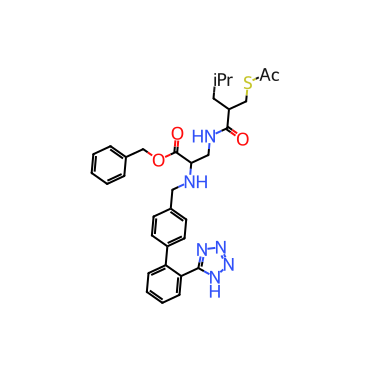 CC(=O)SCC(CC(C)C)C(=O)NCC(NCc1ccc(-c2ccccc2-c2nnn[nH]2)cc1)C(=O)OCc1ccccc1